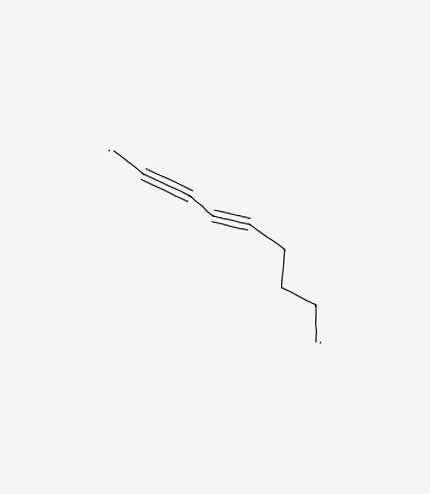 [CH2]C#CC#CCCC[CH2]